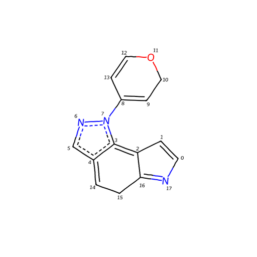 C1=CC2=c3c(cnn3C3=CCOC=C3)=CCC2=N1